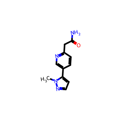 Cn1nccc1-c1ccc(CC(N)=O)nc1